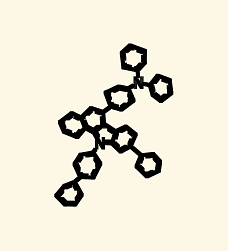 c1ccc(-c2ccc(-n3c4cc(-c5ccccc5)ccc4c4c(-c5ccc(N(c6ccccc6)c6ccccc6)cc5)cc5ccccc5c43)cc2)cc1